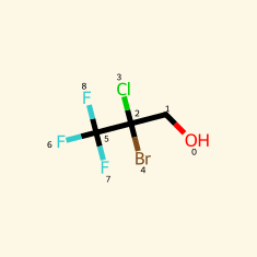 OCC(Cl)(Br)C(F)(F)F